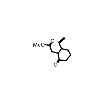 C=CC1CCCC(=O)C1CC(=O)OC